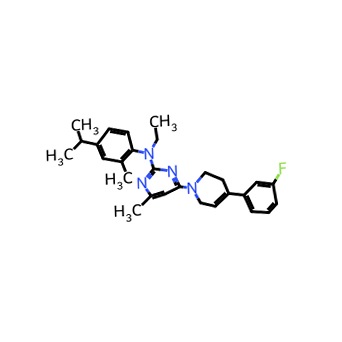 CCN(c1nc(C)cc(N2CC=C(c3cccc(F)c3)CC2)n1)c1ccc(C(C)C)cc1C